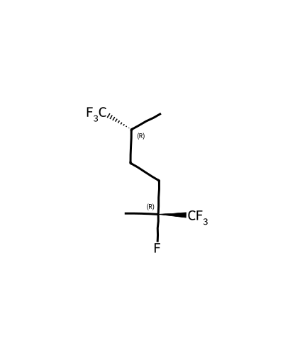 C[C@H](CC[C@@](C)(F)C(F)(F)F)C(F)(F)F